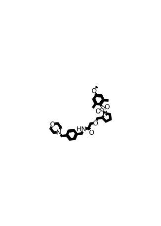 COc1cc(C)c(S(=O)(=O)N2CCCC2COCC(=O)NCc2ccc(CN3CCOCC3)cc2)c(C)c1